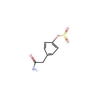 NC(=O)Cc1ccc(O[SH](=O)=O)cc1